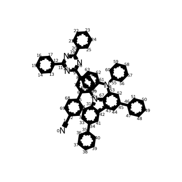 N#Cc1ccc(-c2cc(-c3nc(-c4ccccc4)nc(-c4ccccc4)n3)ccc2-n2c3ccc(-c4ccccc4)cc3c3cc(-c4ccccc4)cc(N(c4ccccc4)c4ccccc4)c32)cc1